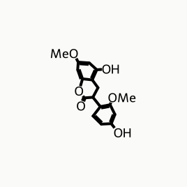 COc1cc(O)c2c(c1)OC(=O)C(c1ccc(O)cc1OC)C2